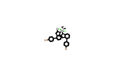 CCC1=Cc2c(-c3ccc(Br)cc3)cccc2[CH]1[Zr]([Cl])([Cl])([CH]1C(CC)=Cc2c(-c3ccc(Br)cc3)cccc21)[SiH](C)C